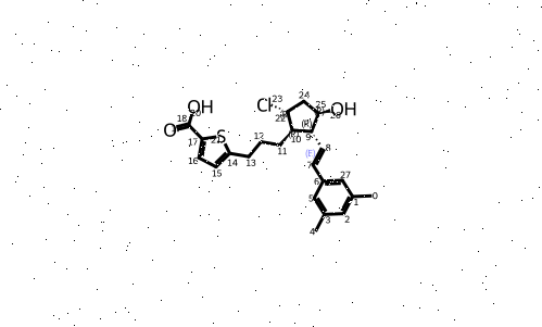 Cc1cc(C)cc(/C=C/[C@@H]2[C@@H](CCCc3ccc(C(=O)O)s3)[C@H](Cl)C[C@H]2O)c1